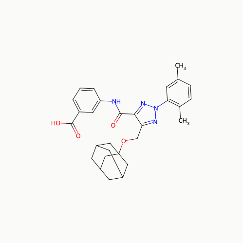 Cc1ccc(C)c(-n2nc(COC34CC5CC(CC(C5)C3)C4)c(C(=O)Nc3cccc(C(=O)O)c3)n2)c1